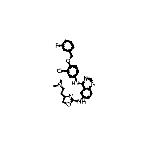 CN(C)CCC1COC(Nc2ccc3ncnc(Nc4ccc(OCc5cccc(F)c5)c(Cl)c4)c3c2)=N1